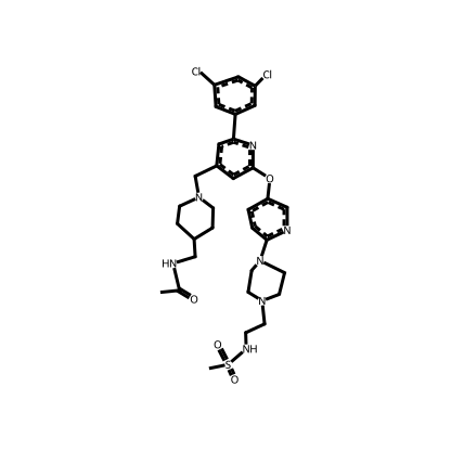 CC(=O)NCC1CCN(Cc2cc(Oc3ccc(N4CCN(CCNS(C)(=O)=O)CC4)nc3)nc(-c3cc(Cl)cc(Cl)c3)c2)CC1